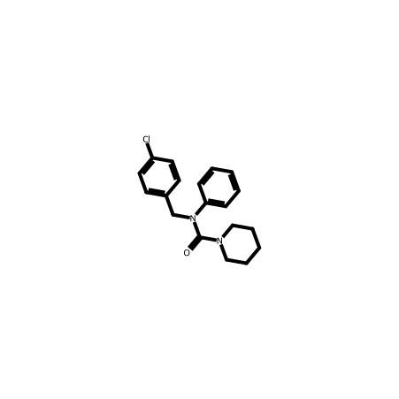 O=C(N1CCCCC1)N(Cc1ccc(Cl)cc1)c1ccccc1